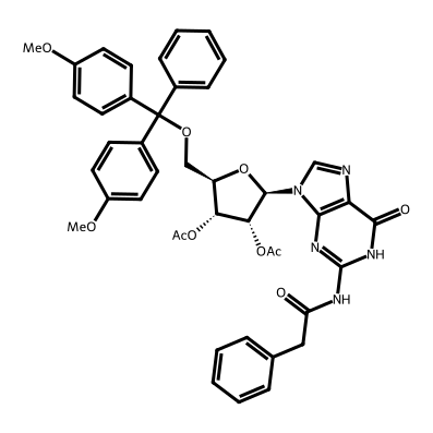 COc1ccc(C(OC[C@H]2O[C@@H](n3cnc4c(=O)[nH]c(NC(=O)Cc5ccccc5)nc43)[C@H](OC(C)=O)[C@@H]2OC(C)=O)(c2ccccc2)c2ccc(OC)cc2)cc1